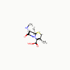 CN[C@H]1C(=O)N2C(C(=O)O)=C(C)CS[C@H]12